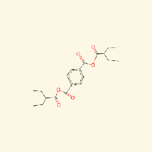 CCC(CC)C(=O)OC(=O)c1ccc(C(=O)OC(=O)C(CC)CC)cc1